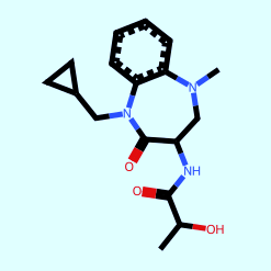 CC(O)C(=O)NC1CN(C)c2ccccc2N(CC2CC2)C1=O